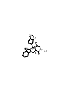 CN1CC(=O)N2[C@H](c3ccc4c(c3)OCO4)c3[nH]c4ccccc4c3C[C@@H]2C1=O.Cl